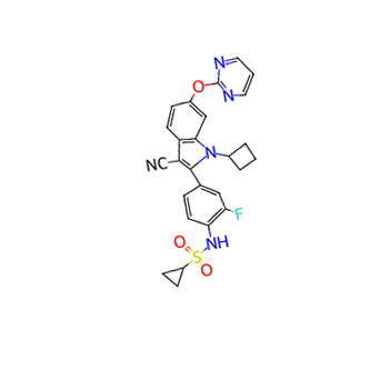 N#Cc1c(-c2ccc(NS(=O)(=O)C3CC3)c(F)c2)n(C2CCC2)c2cc(Oc3ncccn3)ccc12